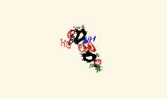 O=S(=O)(Nc1ccc2c(c1)B(O)OC2)c1cccc(OC(F)F)c1